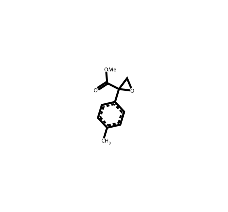 COC(=O)C1(c2ccc(C)cc2)CO1